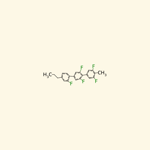 CCCc1ccc(-c2cc(F)c(-c3cc(F)c(C)c(F)c3)c(F)c2)c(F)c1